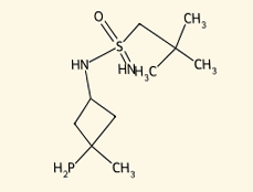 CC(C)(C)CS(=N)(=O)NC1CC(C)(P)C1